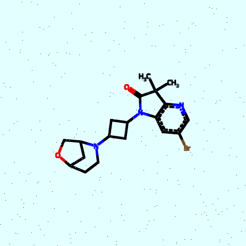 CC1(C)C(=O)N(C2CC(N3CCC4CC3CO4)C2)c2cc(Br)cnc21